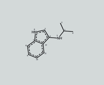 CC(C)Nc1c[nH]c2ccccc12